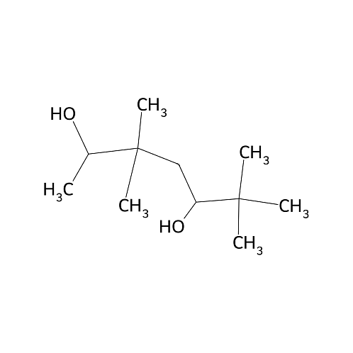 CC(O)C(C)(C)CC(O)C(C)(C)C